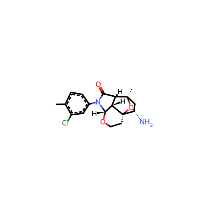 Cc1ccc(N2C(=O)[C@H]3[C@H]4[C@@H]2OCC[C@@]42O[C@]3(C)C[C@@H]2N)cc1Cl